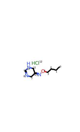 CCCCO/N=C1/CN=CNC1.Cl